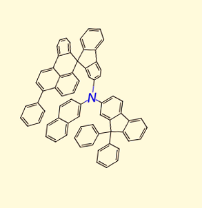 c1ccc(-c2ccc3c4c(cccc24)C2(c4ccccc4-c4ccc(N(c5ccc6c(c5)C(c5ccccc5)(c5ccccc5)c5ccccc5-6)c5ccc6ccccc6c5)cc42)c2ccccc2-3)cc1